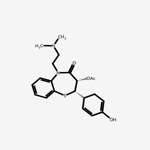 CC(=O)O[C@H]1C(=O)N(CCN(C)C)c2ccccc2S[C@H]1C1C=CC(O)=CC1